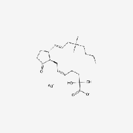 CCCCC(C)(C)C/C=C/[C@H]1CCC(=O)[C@@H]1C/C=C\CCC(O)(O)C(=O)[O-].[Ag+]